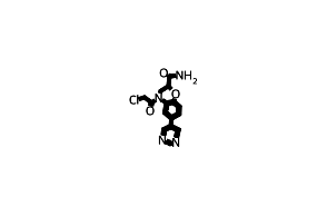 NC(=O)C1CN(C(=O)CCl)c2cc(-c3cncnc3)ccc2O1